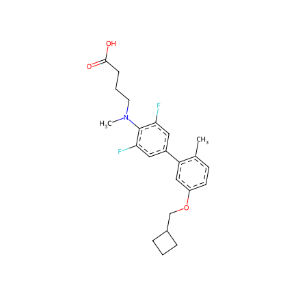 Cc1ccc(OCC2CCC2)cc1-c1cc(F)c(N(C)CCCC(=O)O)c(F)c1